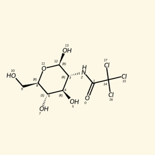 O=C(N[C@@H]1[C@@H](O)[C@H](O)[C@@H](CO)O[C@H]1O)C(Cl)(Cl)Cl